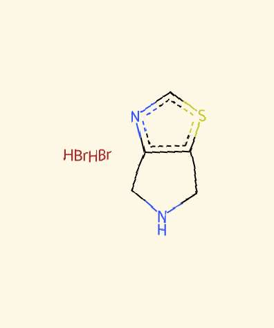 Br.Br.c1nc2c(s1)CNC2